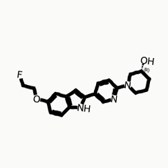 O[C@@H]1CCCN(c2ccc(-c3cc4cc(OCCF)ccc4[nH]3)cn2)C1